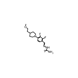 COCCN1CCN(c2ccc(C=NNC(N)=S)c(F)c2F)CC1